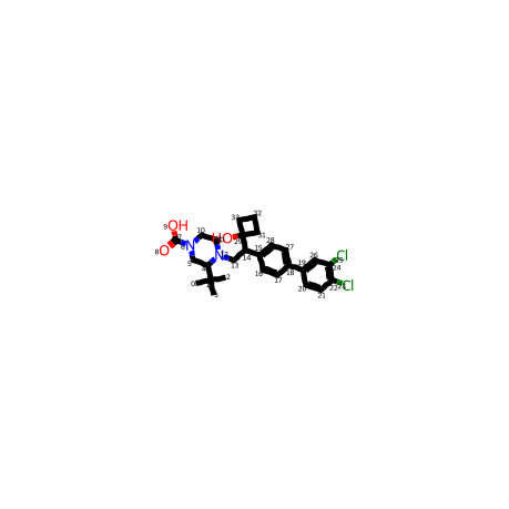 CC(C)(C)C1CN(C(=O)O)CCN1CC(c1ccc(-c2ccc(Cl)c(Cl)c2)cc1)C1(O)CCC1